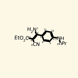 CCCNc1ccc(/C(N)=C(\C#N)C(=O)OCC)cc1